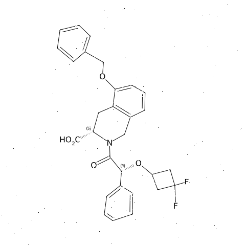 O=C(O)[C@@H]1Cc2c(cccc2OCc2ccccc2)CN1C(=O)[C@H](OC1CC(F)(F)C1)c1ccccc1